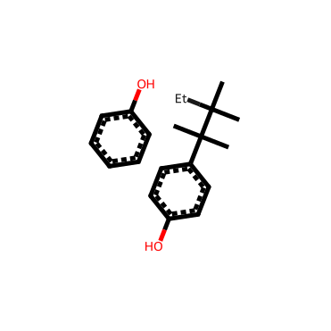 CCC(C)(C)C(C)(C)c1ccc(O)cc1.Oc1ccccc1